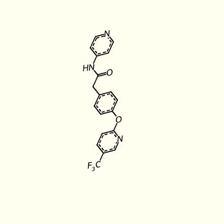 O=C(Cc1ccc(Oc2ccc(C(F)(F)F)cn2)cc1)Nc1ccncc1